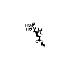 C=COC(=O)CCC(COP(=O)(O)O)[N+](C)(C)C